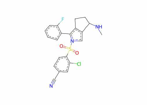 CNC1CCc2c1cn(S(=O)(=O)c1ccc(C#N)cc1Cl)c2-c1ccccc1F